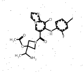 CC(=O)OC1(C(C)N)CN(C(=O)c2cn3ccnc3c(Cl)c2Nc2ccc(I)cc2F)C1